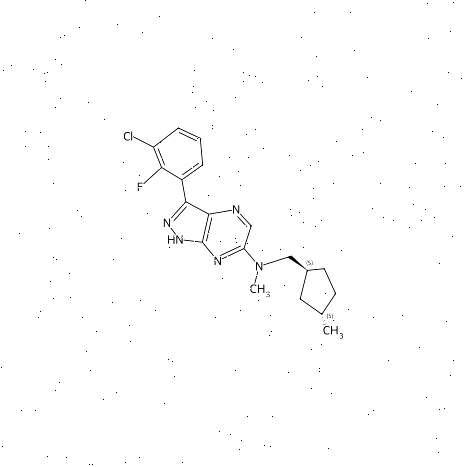 C[C@H]1CC[C@H](CN(C)c2cnc3c(-c4cccc(Cl)c4F)n[nH]c3n2)C1